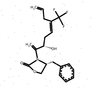 C=CC/C(=C\C[C@H](O)C(=C)N1C(=O)OC[C@H]1Cc1ccccc1)C(F)(F)F